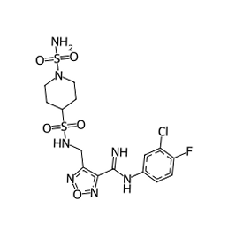 N=C(Nc1ccc(F)c(Cl)c1)c1nonc1CNS(=O)(=O)C1CCN(S(N)(=O)=O)CC1